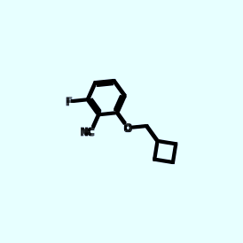 N#Cc1c(F)cccc1OCC1CCC1